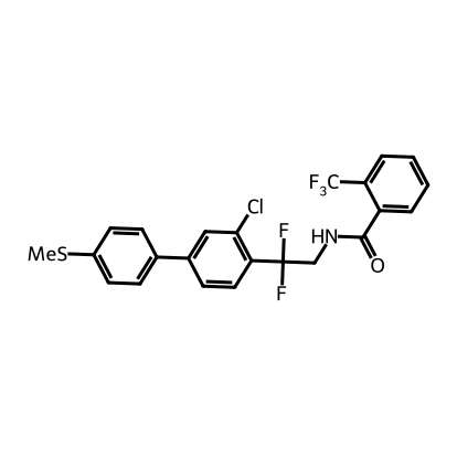 CSc1ccc(-c2ccc(C(F)(F)CNC(=O)c3ccccc3C(F)(F)F)c(Cl)c2)cc1